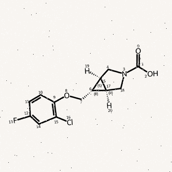 O=C(O)N1C[C@@H]2[C@@H](COc3ccc(F)cc3Cl)[C@@H]2C1